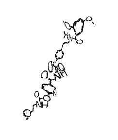 COCCNC(=O)Oc1ccc(C(=O)NS(=O)(=O)c2ccc(CCNC(=O)c3cc(OC)ccc3OC)cc2)cn1